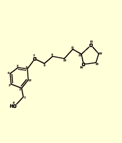 OCc1cccc(OCCCCC2OCCO2)c1